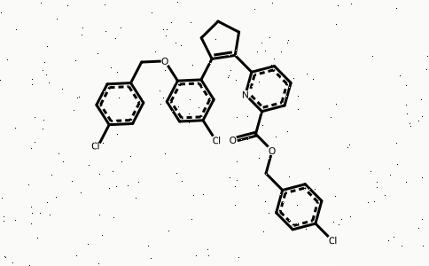 O=C(OCc1ccc(Cl)cc1)c1cccc(C2=C(c3cc(Cl)ccc3OCc3ccc(Cl)cc3)CCC2)n1